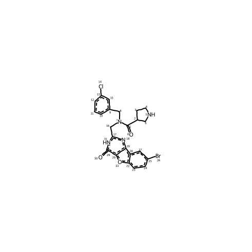 O=C(C1CCNC1)N(Cc1cccc(Cl)c1)Cc1nc2c(oc3ccc(Br)cc32)c(=O)[nH]1